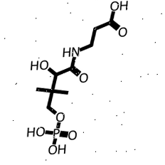 CC(C)(COP(=O)(O)O)C(O)C(=O)NCCC(=O)O